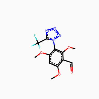 COc1cc(OC)c(-n2nnnc2C(F)(F)F)c(OC)c1C=O